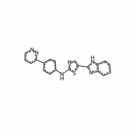 c1cnnc(-c2ccc(Nc3ncc(-c4nc5ccccc5[nH]4)s3)cc2)c1